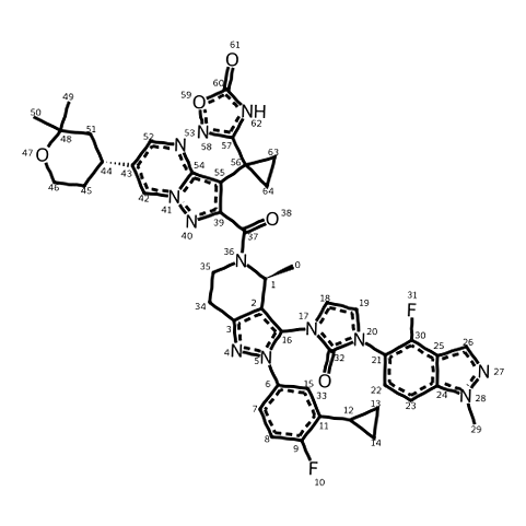 C[C@H]1c2c(nn(-c3ccc(F)c(C4CC4)c3)c2-n2ccn(-c3ccc4c(cnn4C)c3F)c2=O)CCN1C(=O)c1nn2cc([C@@H]3CCOC(C)(C)C3)cnc2c1C1(c2noc(=O)[nH]2)CC1